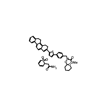 COC(=O)N(Cc1ccc(-c2ccc(C3=Cc4ccc5c(c4CC3)CCc3ccccc3-5)s2)cc1)OC1CCCCO1.NC(=O)CC1C=CC=CS1(=O)=O